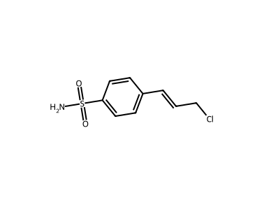 NS(=O)(=O)c1ccc(C=CCCl)cc1